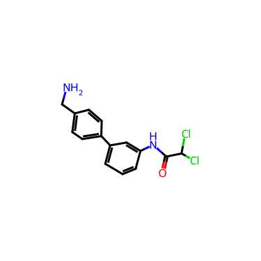 NCc1ccc(-c2cccc(NC(=O)C(Cl)Cl)c2)cc1